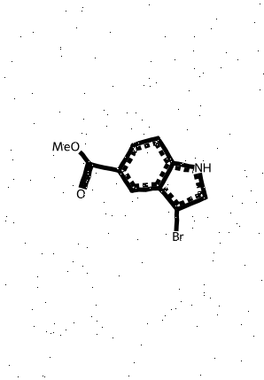 COC(=O)c1ccc2[nH]cc(Br)c2c1